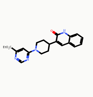 CCOC(=O)c1cc(N2CCC(c3cc4ccccc4[nH]c3=O)CC2)ncn1